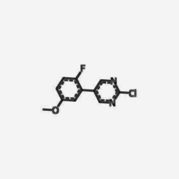 COc1ccc(F)c(-c2cnc(Cl)nc2)c1